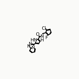 O=C(NCc1c(F)cccc1Cl)c1ccc(-c2nnc3ccccn23)[nH]1